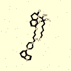 CCCCCCC(C)(C)C(O)N1C(=O)CCc2ccc(OCCCCN3CCN(c4cccc5sccc45)CC3)cc21